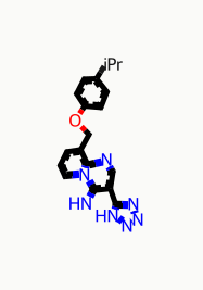 CC(C)c1ccc(OCc2cccn3c(=N)c(-c4nnn[nH]4)cnc23)cc1